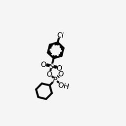 O=P(O)(OS(=O)(=O)c1ccc(Cl)cc1)C1CCCCC1